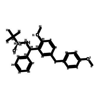 COc1ccc(Cc2ccc(OC)c(C(N[S@@+]([O-])C(C)(C)C)c3ccccc3)c2)cc1